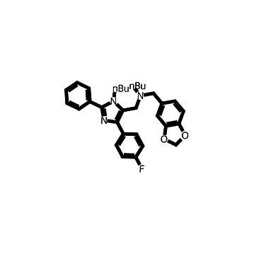 CCCCN(Cc1ccc2c(c1)OCO2)Cc1c(-c2ccc(F)cc2)nc(-c2ccccc2)n1CCCC